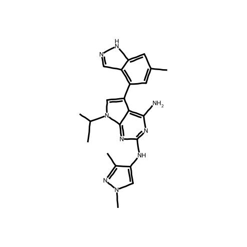 Cc1cc(-c2cn(C(C)C)c3nc(Nc4cn(C)nc4C)nc(N)c23)c2cn[nH]c2c1